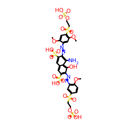 COc1cc(S(=O)(=O)CCOS(=O)(=O)O)c(OC)cc1/N=N/c1c(S(=O)(=O)O)cc2cc(S(=O)(=O)O)c(/N=N/c3cc(S(=O)(=O)CCOS(=O)(=O)O)ccc3OC)c(O)c2c1N